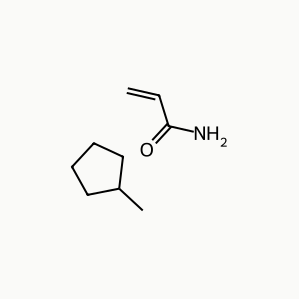 C=CC(N)=O.CC1CCCC1